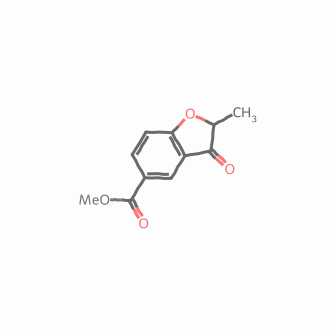 COC(=O)c1ccc2c(c1)C(=O)C(C)O2